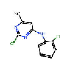 N#Cc1cc(Nc2ccccc2Cl)nc(Cl)n1